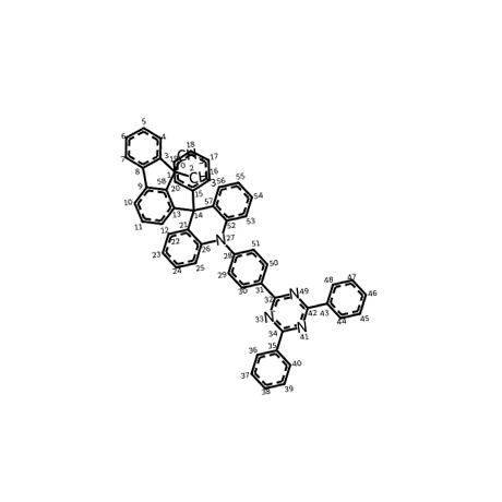 CC1(C)c2ccccc2-c2cccc(C3(c4ccccc4)c4ccccc4N(c4ccc(-c5nc(-c6ccccc6)nc(-c6ccccc6)n5)cc4)c4ccccc43)c21